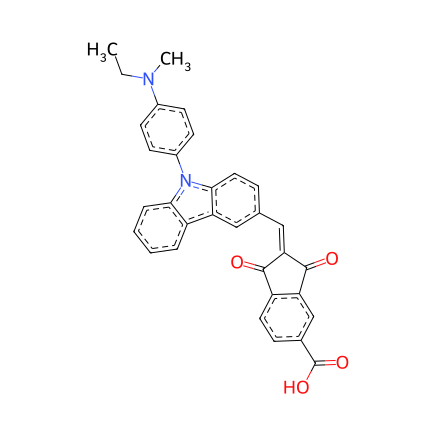 CCN(C)c1ccc(-n2c3ccccc3c3cc(C=C4C(=O)c5ccc(C(=O)O)cc5C4=O)ccc32)cc1